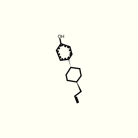 C=CC[C@H]1CC[C@H](c2ccc(O)cc2)CC1